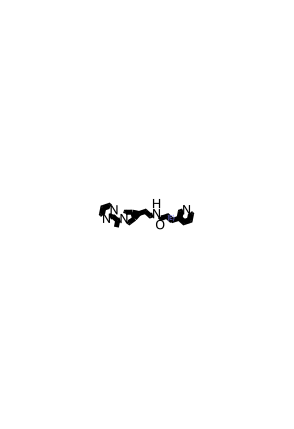 CC(c1ncccn1)N1CC2C(CCNC(=O)/C=C/c3cccnc3)C2C1